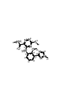 CNC(=O)c1nnc(SC)nc1Nc1cccc(-c2ncn(C)n2)c1OC